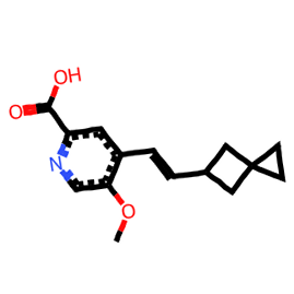 COc1cnc(C(=O)O)cc1/C=C/C1CC2(CC2)C1